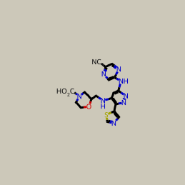 N#Cc1cnc(Nc2cc(NCC3CN(C(=O)O)CCO3)c(-c3cncs3)nn2)cn1